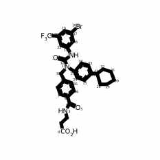 O=C(O)CCNC(=O)c1ccc(CN(C(=O)Nc2cc(Br)cc(C(F)(F)F)c2)c2ccc(C3CCCCC3)cc2)cc1